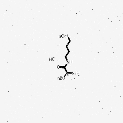 CCCCCCCCCCCCNC(=O)[C@@H](N)CCCC.Cl